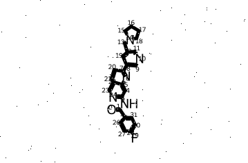 O=C(Nc1cc2nc(-c3cncc(CN4CCCC4)c3)ccc2cn1)c1ccc(F)cc1